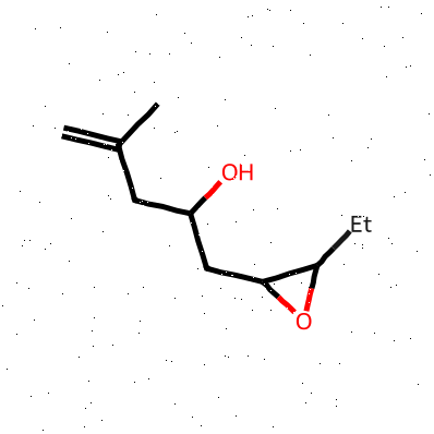 C=C(C)CC(O)CC1OC1CC